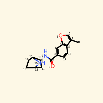 Cc1coc2cc(C(=O)N[C@@H]3CC4CCC3N4)ccc12